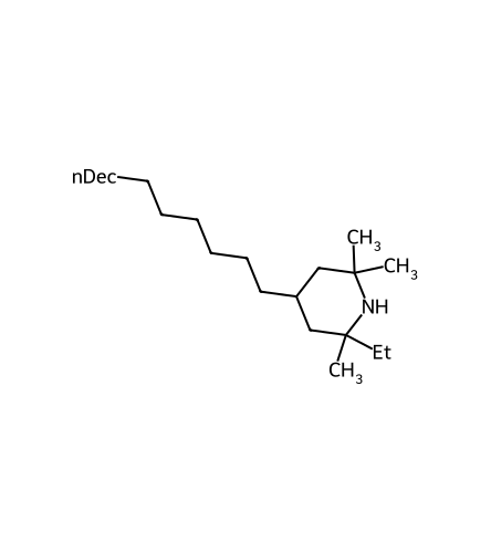 CCCCCCCCCCCCCCCCC1CC(C)(C)NC(C)(CC)C1